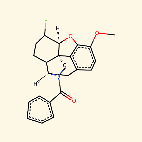 COc1ccc2c3c1O[C@@H]1C(F)CCC4[C@H](C2)N(C(=O)c2ccccc2)CC[C@]341